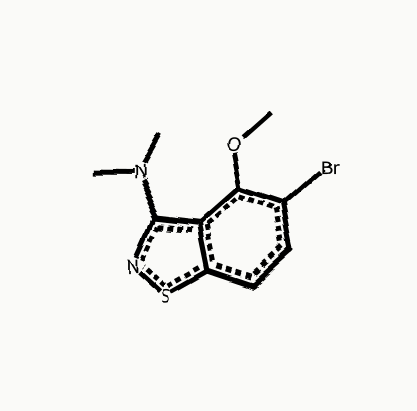 COc1c(Br)ccc2snc(N(C)C)c12